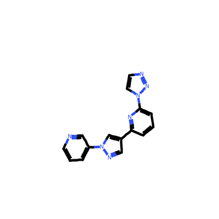 c1cncc(-n2cc(-c3cccc(-n4ccnn4)n3)cn2)c1